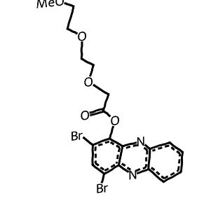 COCCOCCOCC(=O)Oc1c(Br)cc(Br)c2nc3ccccc3nc12